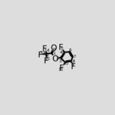 O=C(Oc1c(F)ccc(F)c1F)C(F)(F)F